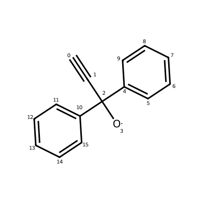 C#CC([O])(c1ccccc1)c1ccccc1